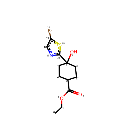 CCOC(=O)C1CCC(O)(c2ncc(Br)s2)CC1